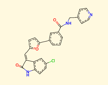 O=C1Nc2ccc(Cl)cc2/C1=C\c1ccc(-c2cccc(C(=O)NCc3ccncc3)c2)o1